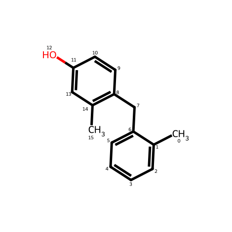 Cc1ccccc1Cc1ccc(O)cc1C